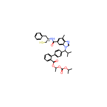 Cc1cc(C(=O)N[C@@H](CS)Cc2ccccc2)cc2c1ncn2C(c1ccc(-c2ccccc2C(=O)OC(C)OC(=O)OC(C)C)cc1)C(C)C